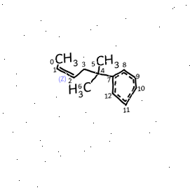 C/C=C\CC(C)(C)c1ccccc1